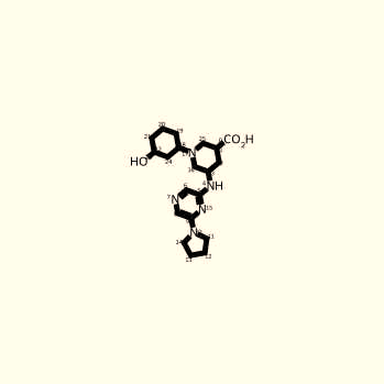 O=C(O)C1CC(Nc2cncc(N3CCCC3)n2)CN(C2CCCC(O)C2)C1